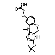 CN1C(=O)[C@@H](NC(=O)OC(C)(C)C)COc2ccc(OCC(=O)O)cc21